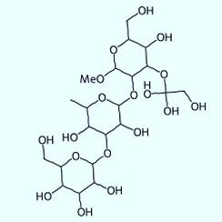 COC1OC(CO)C(O)C(OC(O)(O)CO)C1OC1OC(C)C(O)C(OC2OC(CO)C(O)C(O)C2O)C1O